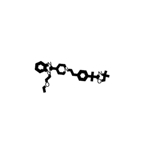 CCOCCn1c(C2CCN(CCc3ccc(C(C)(C)C4=NC(C)(C)CO4)cc3)CC2)nc2ccccc21